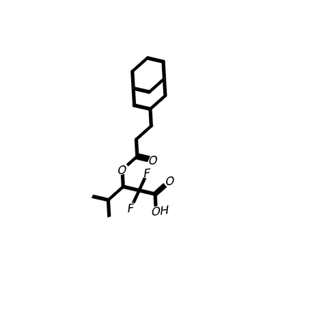 CC(C)C(OC(=O)CCC1CC2CCCC(C2)C1)C(F)(F)C(=O)O